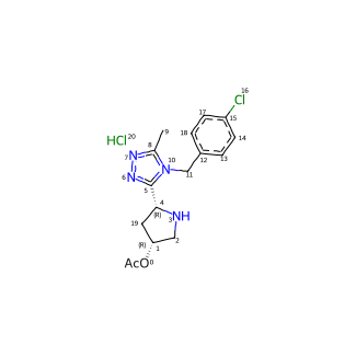 CC(=O)O[C@H]1CN[C@@H](c2nnc(C)n2Cc2ccc(Cl)cc2)C1.Cl